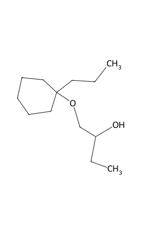 CCCC1(OCC(O)CC)CCCCC1